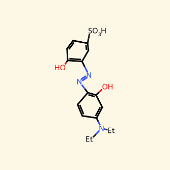 CCN(CC)c1ccc(N=Nc2cc(S(=O)(=O)O)ccc2O)c(O)c1